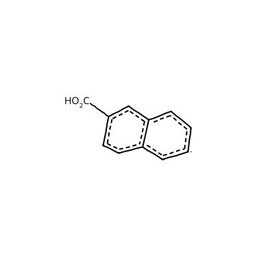 O=C(O)c1ccc2c[c]ccc2c1